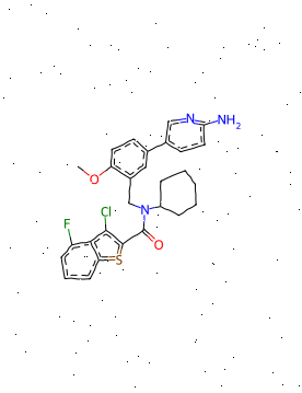 COc1ccc(-c2ccc(N)nc2)cc1CN(C(=O)c1sc2cccc(F)c2c1Cl)C1CCCCC1